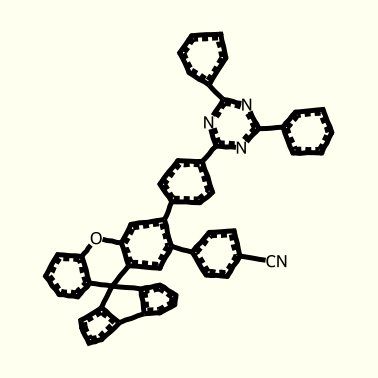 N#Cc1ccc(-c2cc3c(cc2-c2ccc(-c4nc(-c5ccccc5)nc(-c5ccccc5)n4)cc2)Oc2ccccc2C32c3ccccc3-c3ccccc32)cc1